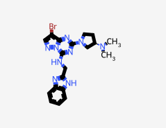 CN(C)[C@H]1CCN(c2nc(NCc3nc4ccccc4[nH]3)n3ncc(Br)c3n2)C1